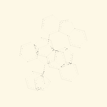 c1ccc(-c2c3ccccc3c(-c3cccc4sc5cccc(-c6c7ccccc7c(-c7ccoc7)c7ccccc67)c5c34)c3ccccc23)cc1